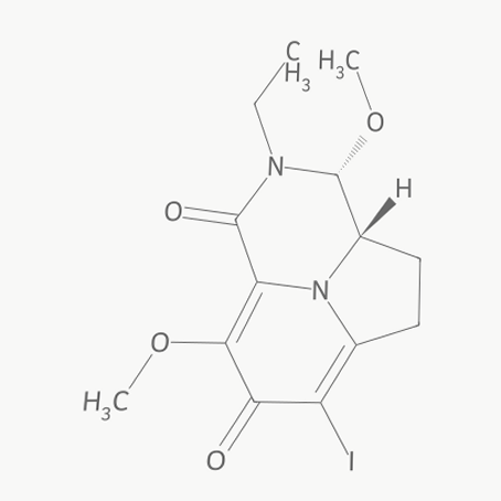 CCN1C(=O)c2c(OC)c(=O)c(I)c3n2[C@@H](CC3)[C@H]1OC